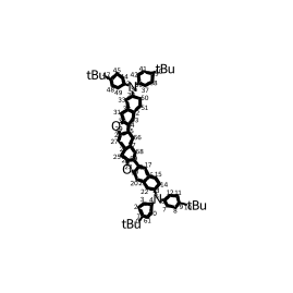 CC(C)(C)c1ccc(N(c2ccc(C(C)(C)C)cc2)c2ccc3cc4c(cc3c2)oc2cc3cc5oc6cc7cc(N(c8ccc(C(C)(C)C)cc8)c8ccc(C(C)(C)C)cc8)ccc7cc6c5cc3cc24)cc1